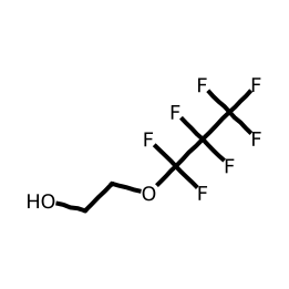 OCCOC(F)(F)C(F)(F)C(F)(F)F